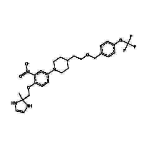 CC1(COc2ccc(N3CCC(CCOCc4ccc(OC(F)(F)F)cc4)CC3)cc2[N+](=O)[O-])NC=CN1